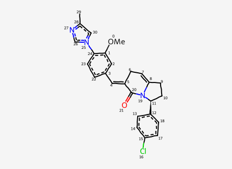 COc1cc(C=C2CC=C3CC[C@@H](c4ccc(Cl)cc4)N3C2=O)ccc1-n1cnc(C)c1